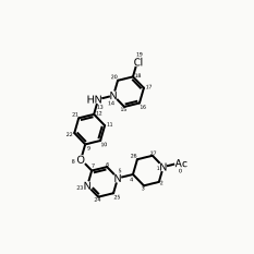 CC(=O)N1CCC(N2C=C(Oc3ccc(NN4C=CC=C(Cl)C4)cc3)N=CC2)CC1